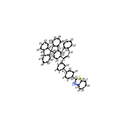 C1=C(c2cccc(-c3ccc(-c4nc5ccccc5s4)cc3)c2)c2ccc3c(c2-c2ccccc2C1)-c1ccccc1C31c2ccccc2-c2ccccc21